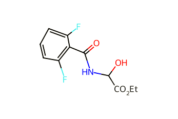 CCOC(=O)C(O)NC(=O)c1c(F)cccc1F